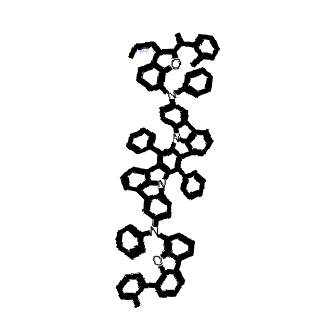 C=C(c1ccccc1C)c1oc2c(N(c3ccccc3)c3ccc4c(c3)c3cccc5c6c(-c7ccccc7)c7c(c(-c8ccccc8)c6n4c35)c3cccc4c5cc(N(c6ccccc6)c6cccc8c6oc6c(-c9ccccc9C)cccc68)ccc5n7c43)cccc2c1/C=C\C